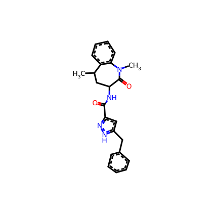 CC1CC(NC(=O)c2cc(Cc3ccccc3)[nH]n2)C(=O)N(C)c2ccccc21